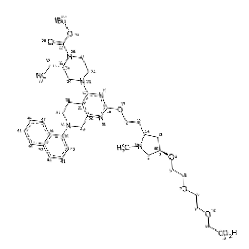 CN1C[C@H](OCCOCCOCC(=O)O)CC1CCOc1nc2c(c(N3CCN(C(=O)OC(C)(C)C)[C@@H](CC#N)C3)n1)CCN(c1cccc3ccccc13)C2